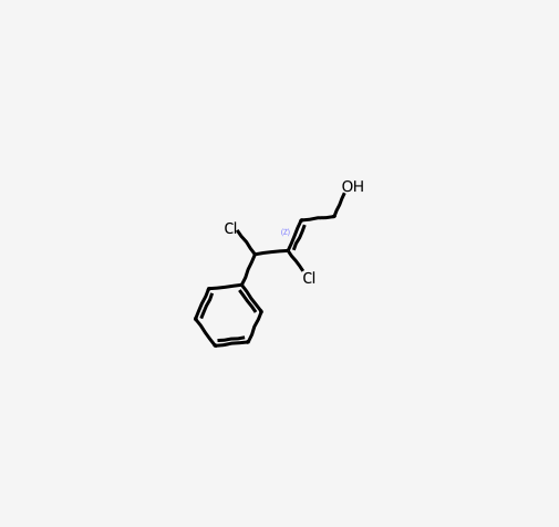 OC/C=C(\Cl)C(Cl)c1ccccc1